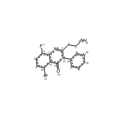 NCCc1nc2c(F)ccc(Br)c2c(=O)n1-c1cccnc1